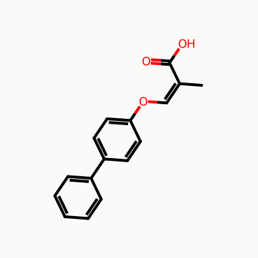 CC(=COc1ccc(-c2ccccc2)cc1)C(=O)O